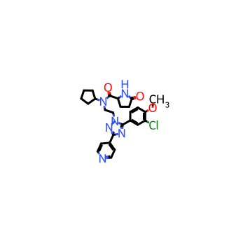 COc1ccc(-c2nc(-c3ccncc3)nn2CCN(C(=O)C2CCC(=O)N2)C2CCCC2)cc1Cl